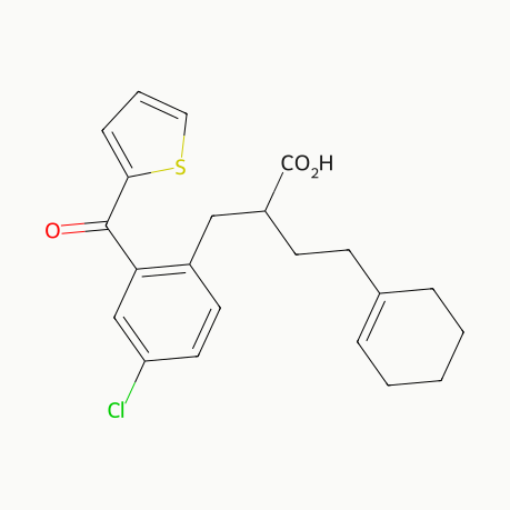 O=C(c1cccs1)c1cc(Cl)ccc1CC(CCC1=CCCCC1)C(=O)O